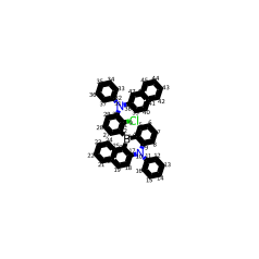 Clc1c(B2c3ccccc3N(c3ccccc3)c3ccc4ccccc4c32)cccc1N(c1ccccc1)c1ccc2ccccc2c1